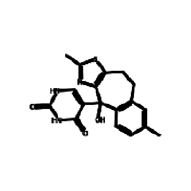 Cc1ccc2c(c1)CCc1sc(C)nc1C2(O)c1c[nH]c(=O)[nH]c1=O